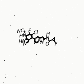 N#CCNc1c(F)c(Cl)c(-c2ccn3nc(NC(=O)C4CC4F)cc3c2)c2cn[nH]c12